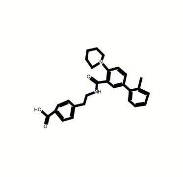 Cc1ccccc1-c1ccc(N2CCCCC2)c(C(=O)NCCc2ccc(C(=O)O)cc2)c1